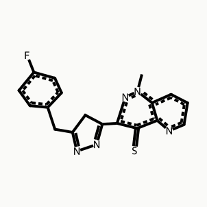 Cn1nc(C2=NN=C(Cc3ccc(F)cc3)C2)c(=S)c2ncccc21